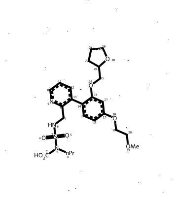 CCCN(C(=O)O)S(=O)(=O)NCc1ncccc1-c1ccc(OCCOC)cc1OCC1CCCO1